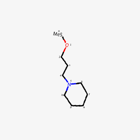 CSOCCCN1CCCCC1